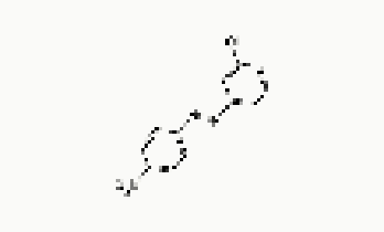 O=[N+]([O-])c1ccc(N=Nc2cccc(O)c2)cc1